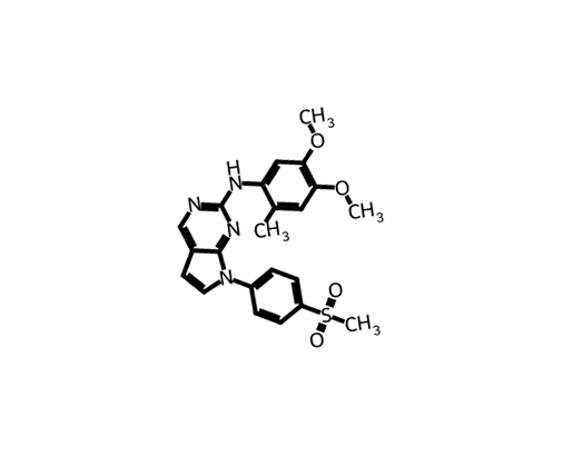 COc1cc(C)c(Nc2ncc3ccn(-c4ccc(S(C)(=O)=O)cc4)c3n2)cc1OC